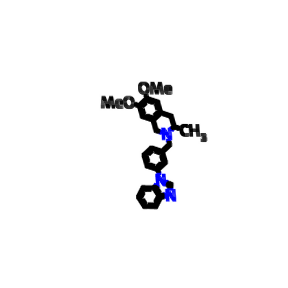 COc1cc2c(cc1OC)CN(Cc1cccc(-n3cnc4ccccc43)c1)C(C)C2